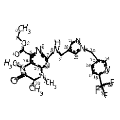 CCOC(=O)c1nc(NCc2cnn(Cc3ccc(C(F)(F)F)nc3)c2)nc(N(C)[C@@H](C)C=O)c1NC